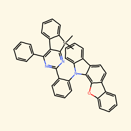 C[Si]1(C)c2ccccc2-c2c(-c3ccccc3)nc(-c3ccccc3-n3c4ccccc4c4ccc5c6ccccc6oc5c43)nc21